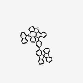 c1ccc(N(c2cccc3ccccc23)c2cccc3oc4c5ccccc5c(-c5ccc(-c6ccc7c(c6)C6(c8ccccc8-c8ccccc86)c6ccccc6-7)cc5)cc4c23)cc1